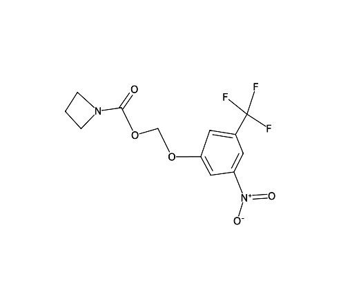 O=C(OCOc1cc([N+](=O)[O-])cc(C(F)(F)F)c1)N1CCC1